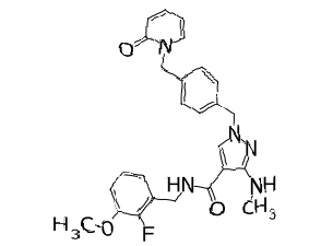 CNc1nn(Cc2ccc(Cn3ccccc3=O)cc2)cc1C(=O)NCc1cccc(OC)c1F